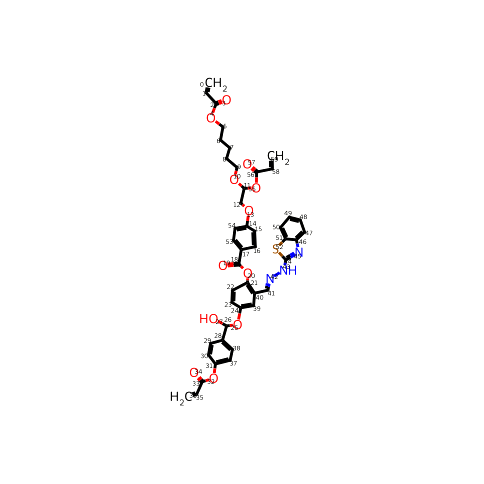 C=CC(=O)OCCCCCOC(COc1ccc(C(=O)Oc2ccc(OC(O)c3ccc(OC(=O)C=C)cc3)cc2/C=N/Nc2nc3ccccc3s2)cc1)OC(=O)C=C